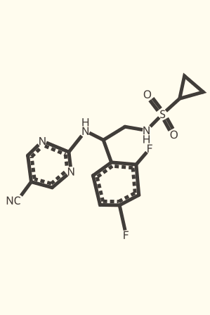 N#Cc1cnc(NC(CNS(=O)(=O)C2CC2)c2ccc(F)cc2F)nc1